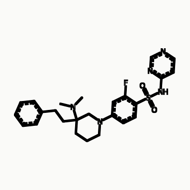 CN(C)C1(CCc2ccccc2)CCCN(c2ccc(S(=O)(=O)Nc3ccncn3)c(F)c2)C1